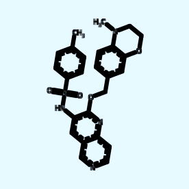 Cc1ccc(S(=O)(=O)Nc2cc3cnccc3nc2OCc2ccc3c(c2)OCCN3C)cc1